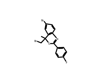 CC1(CBr)OC(c2ccc(F)cc2)=Nc2ccc(Br)cc21